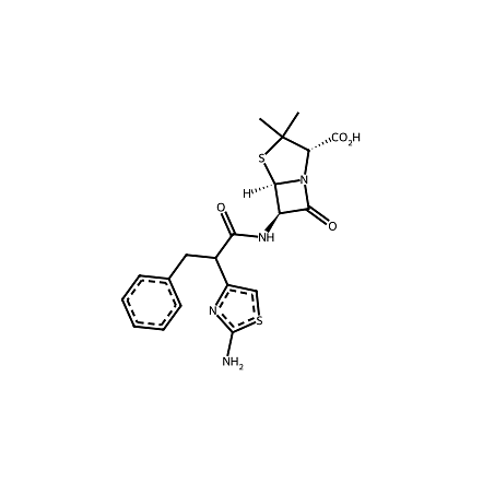 CC1(C)S[C@@H]2[C@H](NC(=O)C(Cc3ccccc3)c3csc(N)n3)C(=O)N2[C@H]1C(=O)O